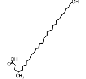 CC(CCCCCCCCCC=CCC=CCCCCCCCCCCO)CCC(=O)O